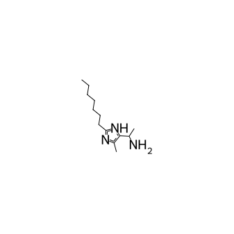 CCCCCCCc1nc(C)c(C(C)N)[nH]1